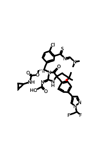 CN(C)C=NC(=S)c1cc([C@@H](COC(=O)NC2CC2)N2C(=O)C(CC(C)(C)C)(c3ccc(-c4cnn(C(F)F)c4)cc3)NC2=NC(=O)O)ccc1Cl